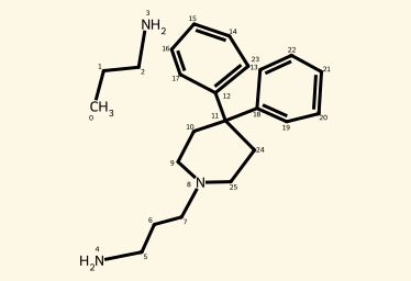 CCCN.NCCCN1CCC(c2ccccc2)(c2ccccc2)CC1